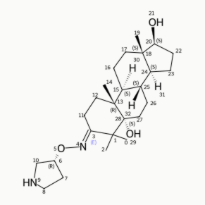 CC1(C)/C(=N/O[C@@H]2CCNC2)CC[C@]2(C)[C@H]3CC[C@]4(C)[C@@H](O)CC[C@H]4[C@@H]3CC[C@@]12O